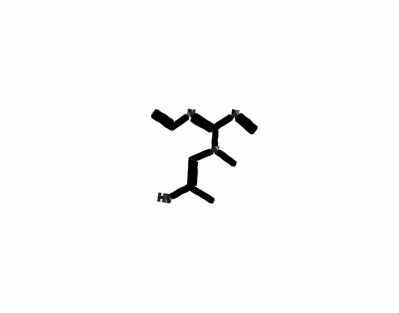 C=C/N=C(/N=C)N(C)/C=C(\C)S